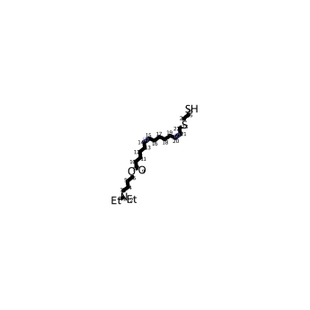 CCN(CC)CCCCOC(=O)CCCC/C=C\CCCC/C=C\CSCCS